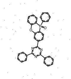 O=P1(c2ccccc2)c2ccccc2Oc2cc(-c3nc(-c4ccccc4)nc(-c4ccccc4)n3)ccc21